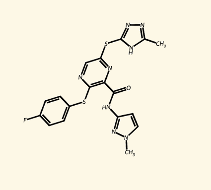 Cc1nnc(Sc2cnc(Sc3ccc(F)cc3)c(C(=O)Nc3ccn(C)n3)n2)[nH]1